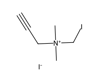 C#CC[N+](C)(C)CI.[I-]